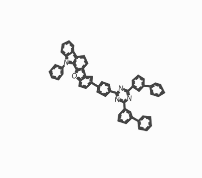 c1ccc(-c2cccc(-c3nc(-c4ccc(-c5ccc6oc7c(ccc8c9ccccc9n(-c9ccccc9)c87)c6c5)cc4)nc(-c4cccc(-c5ccccc5)c4)n3)c2)cc1